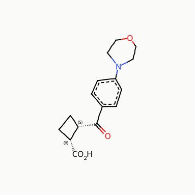 O=C(c1ccc(N2CCOCC2)cc1)[C@H]1CC[C@H]1C(=O)O